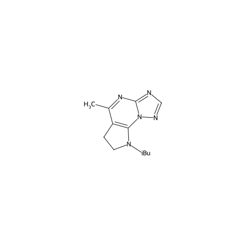 CCC(C)N1CCc2c(C)nc3ncnn3c21